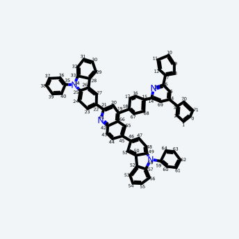 c1ccc(-c2cc(-c3ccccc3)nc(-c3ccc(-c4cc(-c5ccc6c(c5)c5ccccc5n6-c5ccccc5)nc5ccc(-c6ccc7c(c6)c6ccccc6n7-c6ccccc6)cc45)cc3)c2)cc1